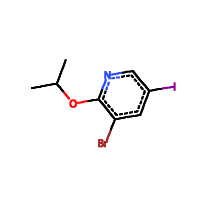 CC(C)Oc1ncc(I)cc1Br